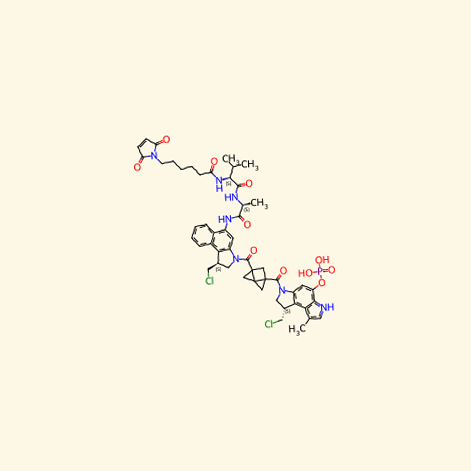 Cc1c[nH]c2c(OP(=O)(O)O)cc3c(c12)[C@H](CCl)CN3C(=O)C12CC3(C(=O)N4C[C@@H](CCl)c5c4cc(NC(=O)[C@H](C)NC(=O)[C@@H](NC(=O)CCCCCN4C(=O)C=CC4=O)C(C)C)c4ccccc54)CC31C2